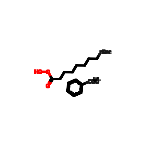 CCCCCCCCCCCCCCCCCC(=O)OO.O=C([O-])c1ccccc1.[Li+]